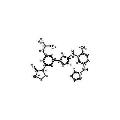 Cc1ccc(Nc2nccs2)cc1Nc1ncc(-c2cc(OC(C)C)cc(N3CCNC3=O)c2)o1